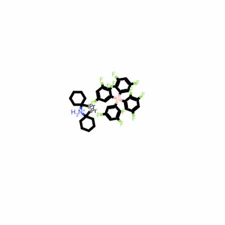 CC(C)C1([NH2+]C2(C(C)C)CCCCC2)CCCCC1.Fc1cc(F)c(F)c([B-](c2cc(F)cc(F)c2F)(c2cc(F)cc(F)c2F)c2cc(F)cc(F)c2F)c1